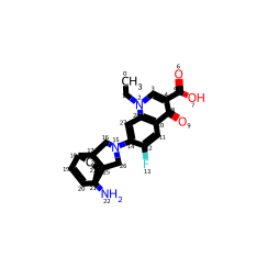 CCn1cc(C(=O)O)c(=O)c2cc(F)c(N3CC4C5C=CC(N)(CC5)C4C3)cc21